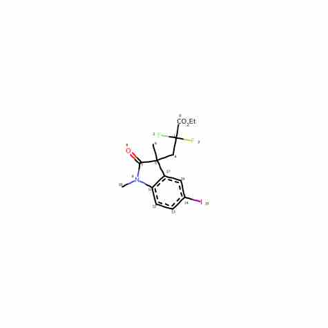 CCOC(=O)C(F)(F)CC1(C)C(=O)N(C)c2ccc(I)cc21